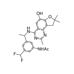 CC(=O)Nc1cc(C(F)F)cc(C(C)Nc2nc(C)nc3c4c(c(O)cc23)OC(C)(C)C4)c1